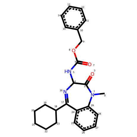 CN1C(=O)C(NC(=O)OCc2ccccc2)N=C(C2CCCCC2)c2ccccc21